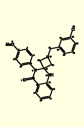 COc1ccc(N2C(=O)c3ccccc3NC23CN(Cc2cccc(Cl)c2)C3)cc1